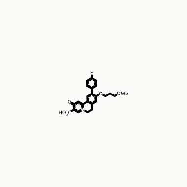 COCCCOc1cc2c(cc1-c1ccc(F)cc1)-c1cc(=O)c(C(=O)O)cn1CC2